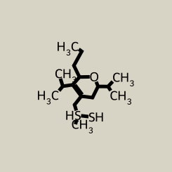 CCCC1OC(C(C)C)CC(C[SH](C)S)=C1C(C)C